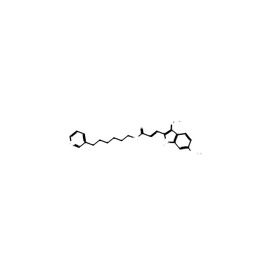 CCCCCc1c(C=CC(=O)NCCCCCCc2cccnc2)n(C)c2cc(OC)ccc12